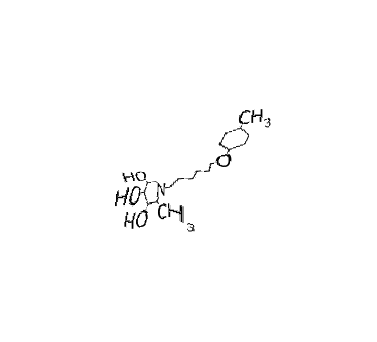 CC1CCC(OCCCCCCN2CC(O)C(O)C(O)C2C)CC1